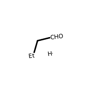 CCCC=O.[H]